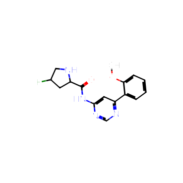 COc1ccccc1-c1cc(NC(=O)C2CC(F)CN2)ncn1